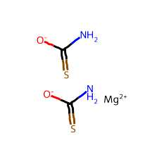 NC([O-])=S.NC([O-])=S.[Mg+2]